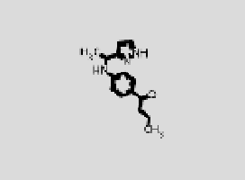 CCCC(=O)c1ccc(NC(C)c2cc[nH]n2)cc1